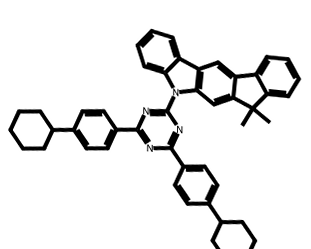 CC1(C)c2ccccc2-c2cc3c4ccccc4n(-c4nc(-c5ccc(C6CCCCC6)cc5)nc(-c5ccc(C6CCCCC6)cc5)n4)c3cc21